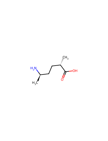 C[C@@H](N)CC[C@H](C)C(=O)O